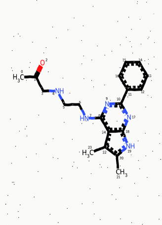 CC(=O)CNCCNc1nc(-c2ccccc2)nc2[nH]c(C)c(C)c12